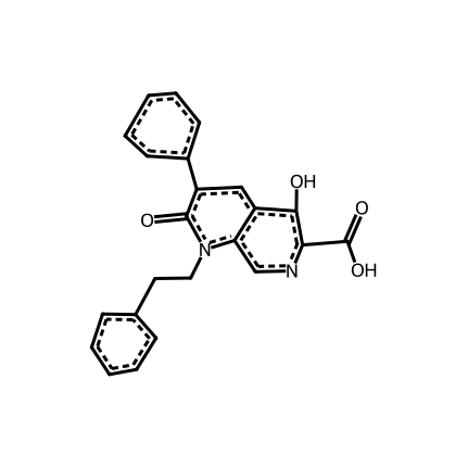 O=C(O)c1ncc2c(cc(-c3ccccc3)c(=O)n2CCc2ccccc2)c1O